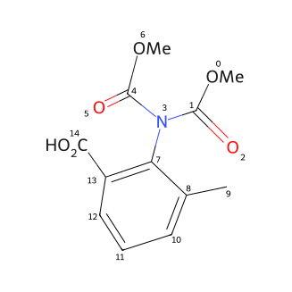 COC(=O)N(C(=O)OC)c1c(C)cccc1C(=O)O